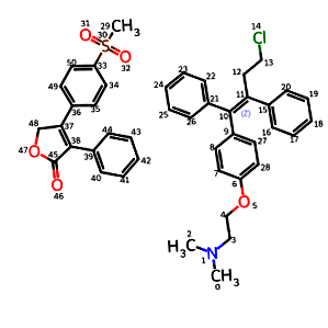 CN(C)CCOc1ccc(/C(=C(/CCCl)c2ccccc2)c2ccccc2)cc1.CS(=O)(=O)c1ccc(C2=C(c3ccccc3)C(=O)OC2)cc1